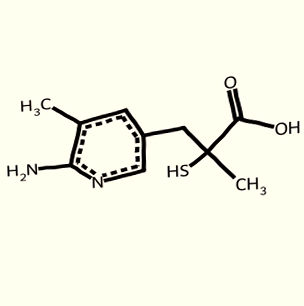 Cc1cc(CC(C)(S)C(=O)O)cnc1N